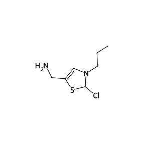 CCCN1C=C(CN)SC1Cl